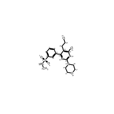 CNS(=O)(=O)c1cccc(-c2nc(N3CCOCC3)nc(Cl)c2CCCl)c1